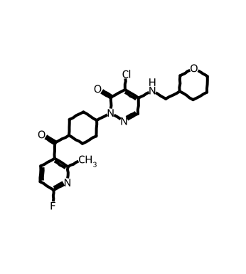 Cc1nc(F)ccc1C(=O)C1CCC(n2ncc(NCC3CCCOC3)c(Cl)c2=O)CC1